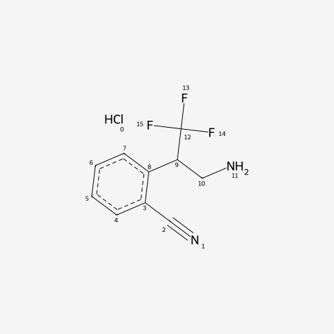 Cl.N#Cc1ccccc1C(CN)C(F)(F)F